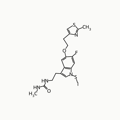 CNC(=O)NCCc1cn(SI)c2cc(F)c(OCCc3csc(C)n3)cc12